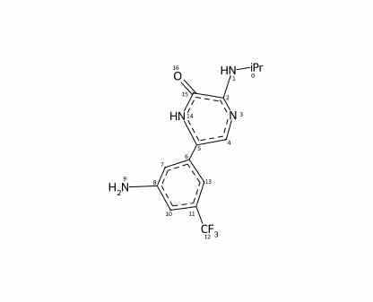 CC(C)Nc1ncc(-c2cc(N)cc(C(F)(F)F)c2)[nH]c1=O